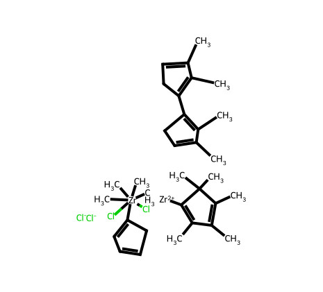 CC1=C(C)C(C)(C)[C]([Zr+2])=C1C.CC1=CCC(C2=C(C)C(C)=CC2)=C1C.[CH3][Zr]([CH3])([CH3])([CH3])([Cl])([Cl])[C]1=CC=CC1.[Cl-].[Cl-]